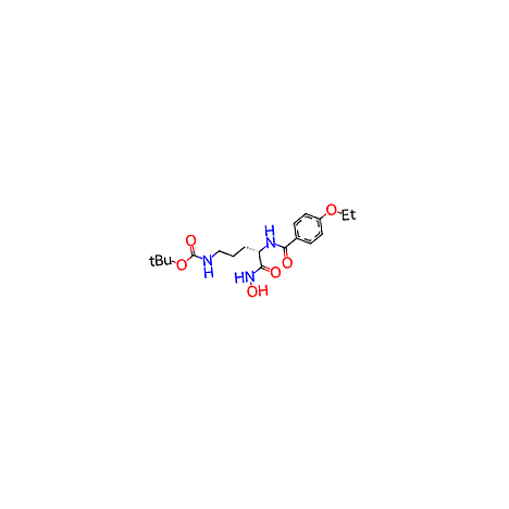 CCOc1ccc(C(=O)N[C@@H](CCCNC(=O)OC(C)(C)C)C(=O)NO)cc1